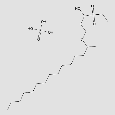 CCCCCCCCCCCCCC(C)OCCC(O)S(=O)(=O)CC.O=P(O)(O)O